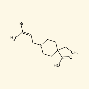 CCC1(C(=O)O)CCN(C/C=C(\C)Br)CC1